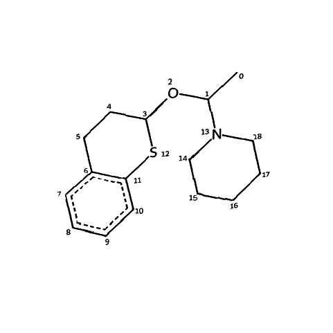 CC(OC1CCc2ccccc2S1)N1CCCCC1